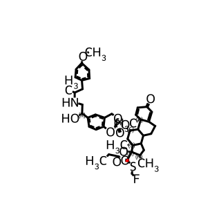 CCC(=O)O[C@]1(C(=O)SCF)[C@H](C)CC2C3CCC4=CC(=O)C=C[C@]4(C)C3[C@@H](OP3(=O)OCc4cc([C@@H](O)CNC(C)Cc5ccc(OC)cc5)ccc4O3)C[C@@]21C